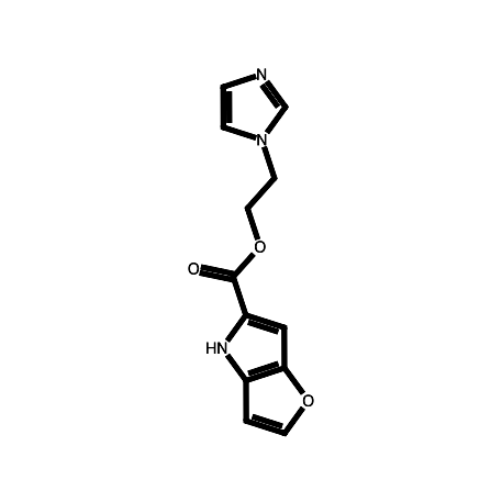 O=C(OCCn1ccnc1)c1cc2occc2[nH]1